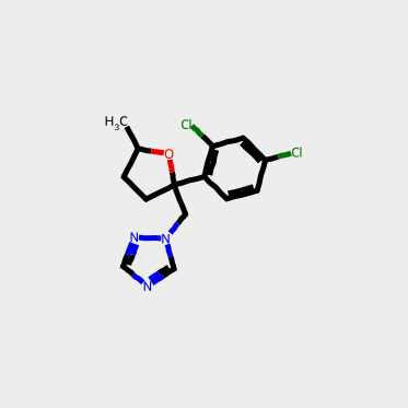 CC1CCC(Cn2cncn2)(c2ccc(Cl)cc2Cl)O1